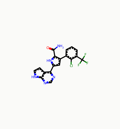 NC(=O)c1[nH]c(-c2ncnc3[nH]ccc23)cc1-c1cccc(C(F)(F)F)c1Cl